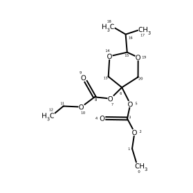 CCOC(=O)OC1(OC(=O)OCC)COC(C(C)C)OC1